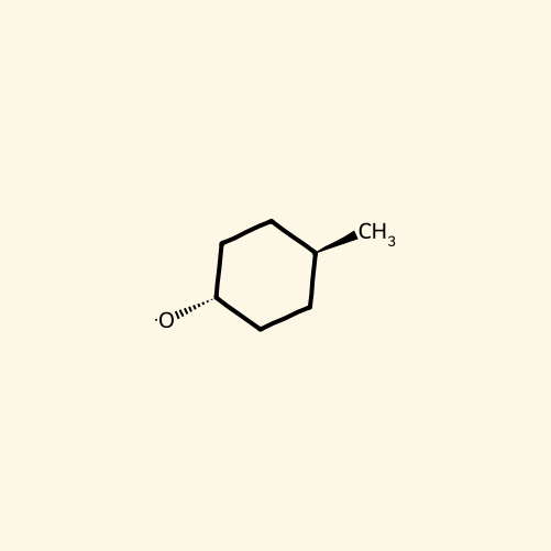 C[C@H]1CC[C@H]([O])CC1